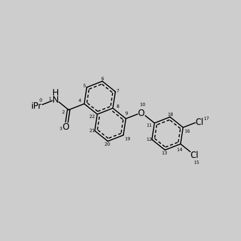 CC(C)NC(=O)c1cccc2c(Oc3ccc(Cl)c(Cl)c3)cccc12